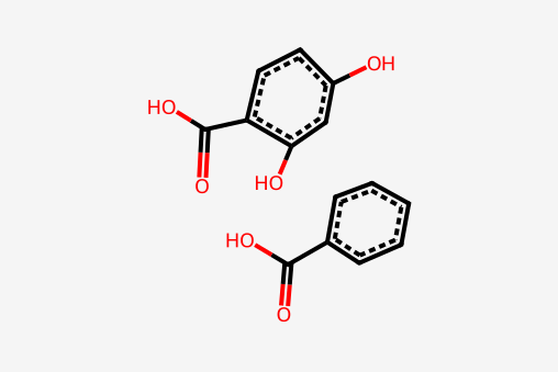 O=C(O)c1ccc(O)cc1O.O=C(O)c1ccccc1